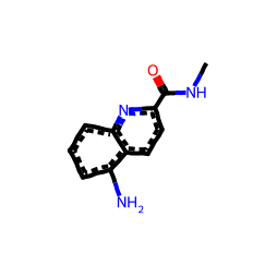 CNC(=O)c1ccc2c(N)cccc2n1